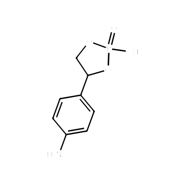 Nc1ccc(C2COP(=O)(O)O2)cc1